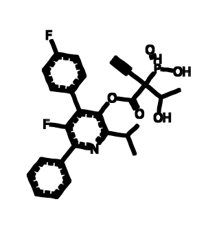 C#CC(C(=O)Oc1c(C(C)C)nc(-c2ccccc2)c(F)c1-c1ccc(F)cc1)(C(C)O)[PH](=O)O